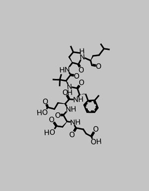 Cc1ccccc1C[C@H](NC(=O)[C@H](CCC(=O)O)NC(=O)[C@H](CC(=O)O)NC(=O)CCC(=O)O)C(=O)N[C@H](C(=O)N[C@@H](CC(C)C)C(=O)N[C@H](C=O)CCC(C)C)C(C)(C)C